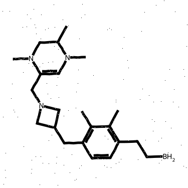 BCCc1ccc(CC2CN(CC3=CN(C)C(C)CN3C)C2)c(C)c1C